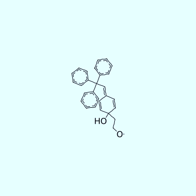 [O]CCC1(O)C=CC(=CC(c2ccccc2)(c2ccccc2)c2ccccc2)C=C1